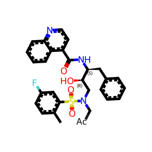 CC(=O)CN(C[C@@H](O)[C@H](Cc1ccccc1)NC(=O)c1ccnc2ccccc12)S(=O)(=O)c1cc(F)ccc1C